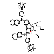 CCCCC(CC)CC1(CC(CC)CCCC)c2ccc(N(c3ccc(B4OC(C)(C)C(C)(C)O4)cc3)c3ccc4c(c3)CCCC4)cc2-c2cc(N(c3ccc(B4OC(C)(C)C(C)(C)O4)cc3)c3ccc4c(c3)CCCC4)ccc21